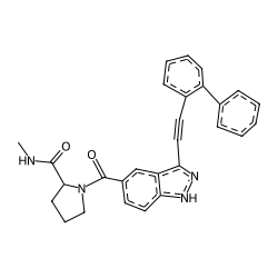 CNC(=O)C1CCCN1C(=O)c1ccc2[nH]nc(C#Cc3ccccc3-c3ccccc3)c2c1